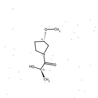 CO[C@H]1CCN(C(=O)[C@@H](C)O)C1